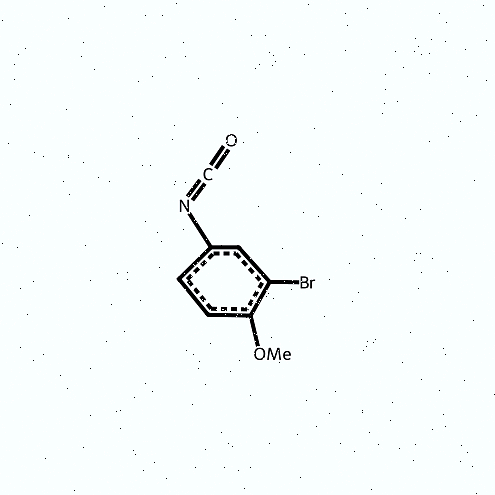 COc1ccc(N=C=O)cc1Br